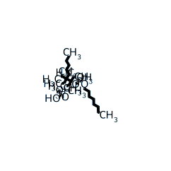 CCCCCCCCOP(O)OC(C(C)C)(C(C)C)C(CCCCCC)(C(C)C)C(C)C.[O]=[Ti]([OH])[OH]